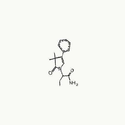 CCC(C(N)=O)N1C=C(c2ccccc2)C(C)(C)C1=O